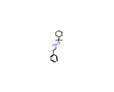 CC(C)(ONCCc1ccccc1)C1CCCCC1